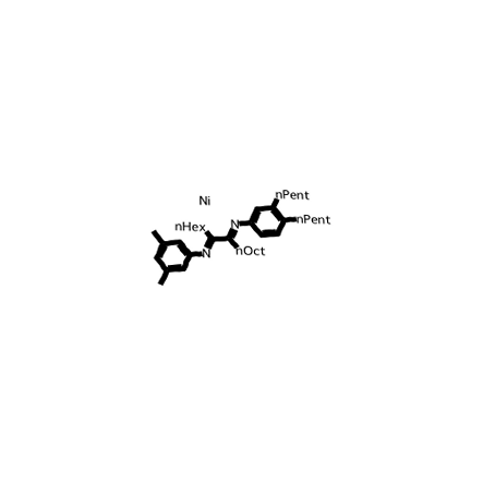 CCCCCCCCC(=N\c1ccc(CCCCC)c(CCCCC)c1)/C(CCCCCC)=N/c1cc(C)cc(C)c1.[Ni]